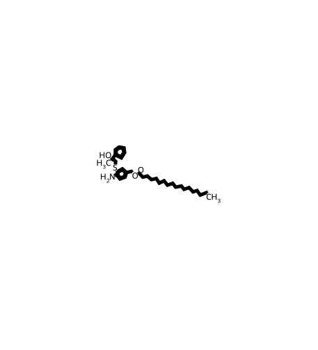 CCCCCCCCCCCCCCCCCC(=O)OCc1ccc(N)c(SCC(C)(O)c2ccccc2)c1